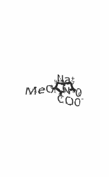 COC1=C(C(=O)[O-])N2C(=O)CC2C1.[Na+]